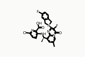 Cc1cc([C@@H](C)Nc2ccc(Cl)nc2C(=O)O)c2nc(N3Cc4ccc(F)cc4C3)c(F)c(=O)n2c1